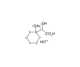 CC(=O)OC1(C(O)C(=O)O)CCCCC1.Cl